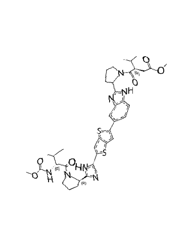 COC(=O)C[C@@H](C(=O)N1CCCC1c1nc2cc(-c3cc4sc(-c5cnc([C@H]6CCCN6C(=O)[C@H](NC(=O)OC)C(C)C)[nH]5)cc4s3)ccc2[nH]1)C(C)C